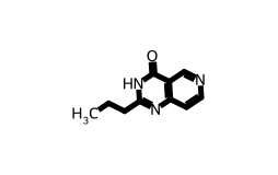 CCCc1nc2ccncc2c(=O)[nH]1